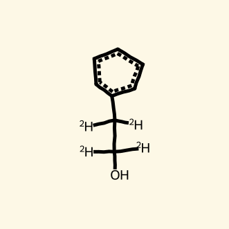 [2H]C([2H])(O)C([2H])([2H])c1ccccc1